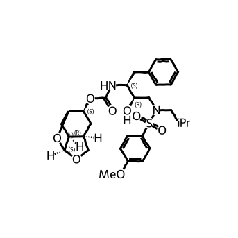 COc1ccc(S(=O)(=O)N(CC(C)C)C[C@@H](O)[C@H](Cc2ccccc2)NC(=O)O[C@H]2C[C@H]3CO[C@H]4OC2C[C@@H]34)cc1